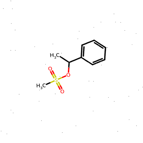 CC(OS(C)(=O)=O)c1cc[c]cc1